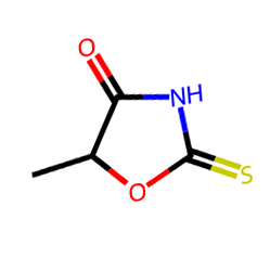 CC1OC(=S)NC1=O